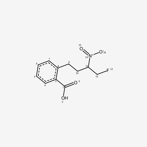 O=C(O)c1ccccc1CCC(CF)[N+](=O)[O-]